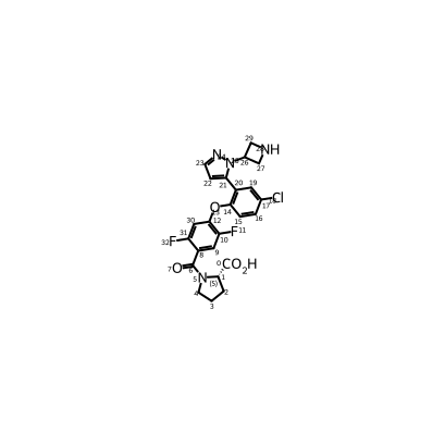 O=C(O)[C@@H]1CCCN1C(=O)c1cc(F)c(Oc2ccc(Cl)cc2-c2ccnn2C2CNC2)cc1F